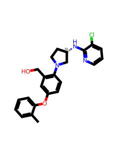 Cc1ccccc1Oc1ccc(N2CC[C@H](Nc3ncccc3Cl)C2)c(CO)c1